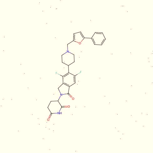 O=C1CCC(N2Cc3c(cc(F)c(C4CCN(Cc5ccc(-c6ccccc6)o5)CC4)c3F)C2=O)C(=O)N1